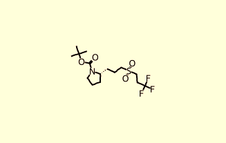 CC(C)(C)OC(=O)N1CCC[C@H]1CCCS(=O)(=O)CCC(F)(F)F